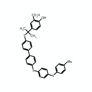 CC(C)(C)c1ccc(Sc2ccc(Sc3ccc(-c4ccc(SC(C)(C)c5ccc(O)c(C(=O)O)c5)cc4)cc3)cc2)cc1